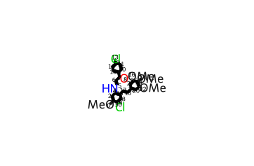 COc1cc(NC=CC(=O)c2ccc(Cl)cc2)c(C=Cc2cc(OC)c(OC)c(OC)c2)cc1Cl